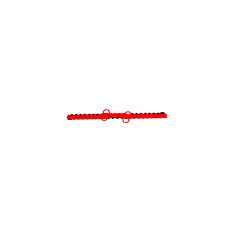 CC(C)CCCCCCCCCCCCCCCOC(=O)CCCCCCCCC(=O)OCCCCCCCCCCCCCCCC(C)C